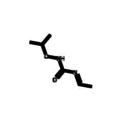 CC=NC(=O)NOC(C)C